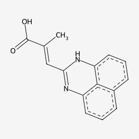 C/C(=C\C1=Nc2cccc3cccc(c23)N1)C(=O)O